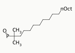 CCCCCCCCCCCCCCCCCC(C)(C)P=O